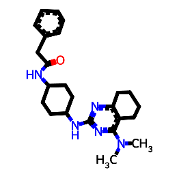 CN(C)c1nc(NC2CCC(NC(=O)Cc3ccccc3)CC2)nc2c1CCCC2